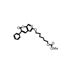 COC(=O)OCCCCCCOc1cc2cc(-c3ccccc3)c(=O)oc2cn1